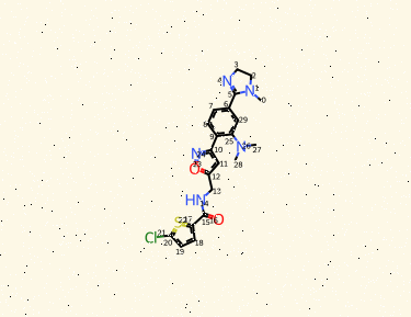 CN1CCN=C1c1ccc(-c2cc(CNC(=O)c3ccc(Cl)s3)on2)c(N(C)C)c1